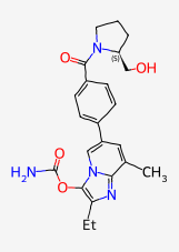 CCc1nc2c(C)cc(-c3ccc(C(=O)N4CCC[C@H]4CO)cc3)cn2c1OC(N)=O